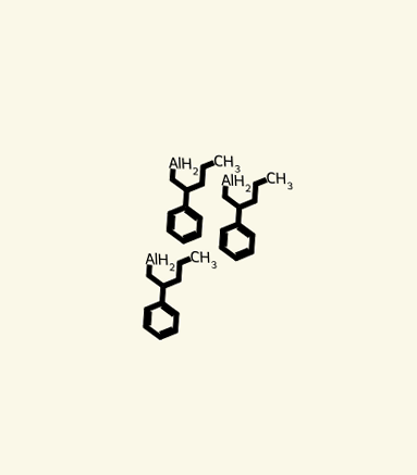 CCCC([CH2][AlH2])c1ccccc1.CCCC([CH2][AlH2])c1ccccc1.CCCC([CH2][AlH2])c1ccccc1